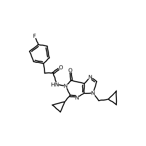 O=C(Cc1ccc(F)cc1)Nn1c(C2CC2)nc2c(ncn2CC2CC2)c1=O